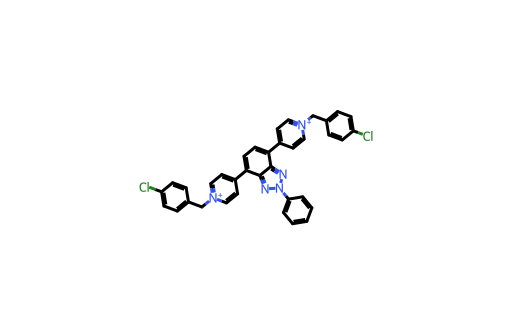 Clc1ccc(C[n+]2ccc(-c3ccc(-c4cc[n+](Cc5ccc(Cl)cc5)cc4)c4nn(-c5ccccc5)nc34)cc2)cc1